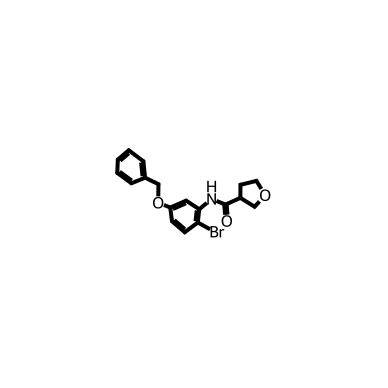 O=C(Nc1cc(OCc2ccccc2)ccc1Br)C1CCOC1